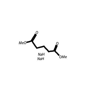 COC(=O)CCCC(=O)OC.[NaH].[NaH]